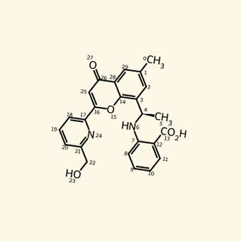 Cc1cc([C@@H](C)Nc2ccccc2C(=O)O)c2oc(-c3cccc(CO)n3)cc(=O)c2c1